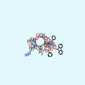 CC[C@H]1OC(=O)[C@H](C)C(=O)[C@H](C)[C@@H](OC2OC(C)C(OC(=O)c3ccccc3)C(NC(=O)OCC3c4ccccc4-c4ccccc43)C2OC(=O)c2ccccc2)[C@@](C)(OC)C[C@@H](C)C(=O)[C@H](C)[C@H]2N(CCCCN=[N+]=[N-])C(=O)O[C@]12C